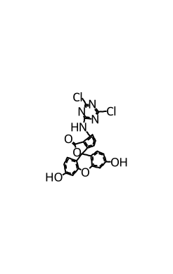 O=C1OC2(c3ccc(O)cc3Oc3cc(O)ccc32)c2cccc(Nc3nc(Cl)nc(Cl)n3)c21